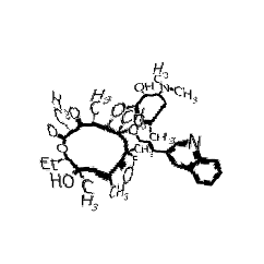 CC[C@H]1OC(=O)[C@H](C)C(=O)[C@H](C)[C@@H](O[C@@H]2O[C@H](C)C[C@H](N(C)C)[C@H]2O)[C@](C)(OC/C=C/c2cnc3ccccc3c2)C[C@](C)(F)C(=O)/C(C)=C/[C@]1(C)O